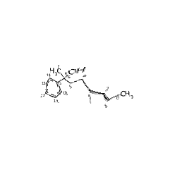 CCCCCCC(C)(O)c1ccccc1